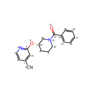 N#Cc1ccnc(O[C@H]2CCCN(C(=O)c3ccccc3)C2)c1